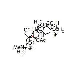 C=C1C=C2[C@H](CC[C@@H]3[C@@]24COC[C@]3(C)[C@@H](OC[C@](C)(NC)C(C)C)[C@H](OC(C)=O)C4)[C@@]2(C)CC[C@](C)([C@H](C)C(C)C)[C@@H](C(=O)O)[C@]12C